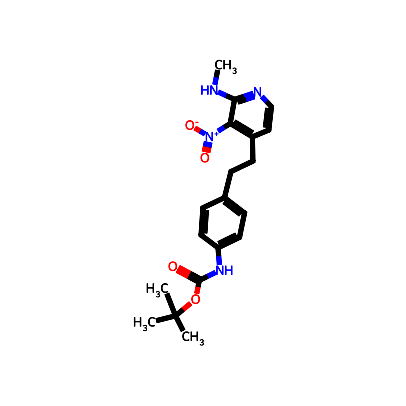 CNc1nccc(CCc2ccc(NC(=O)OC(C)(C)C)cc2)c1[N+](=O)[O-]